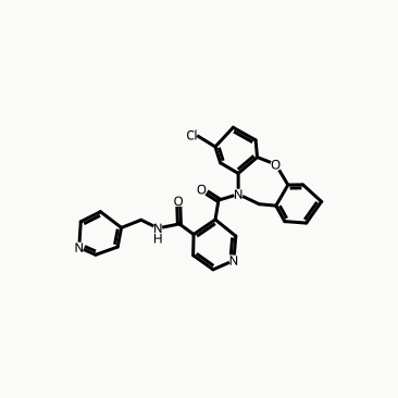 O=C(NCc1ccncc1)c1ccncc1C(=O)N1Cc2ccccc2Oc2ccc(Cl)cc21